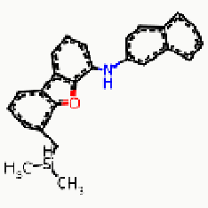 C[SiH](C)Cc1cccc2c1oc1c(Nc3ccc4ccccc4c3)cccc12